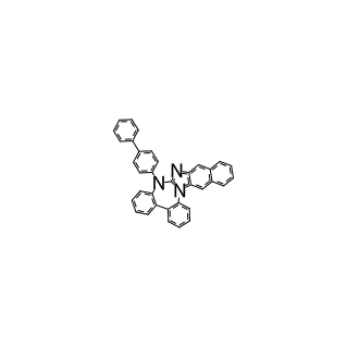 c1ccc(-c2ccc(N3c4ccccc4-c4ccccc4-n4c3nc3cc5ccccc5cc34)cc2)cc1